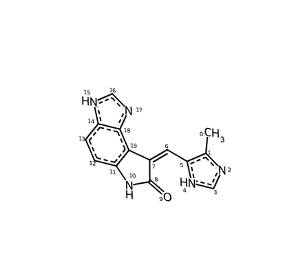 Cc1nc[nH]c1/C=C1\C(=O)Nc2ccc3[nH]cnc3c21